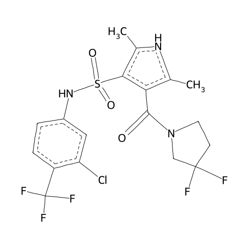 Cc1[nH]c(C)c(S(=O)(=O)Nc2ccc(C(F)(F)F)c(Cl)c2)c1C(=O)N1CCC(F)(F)C1